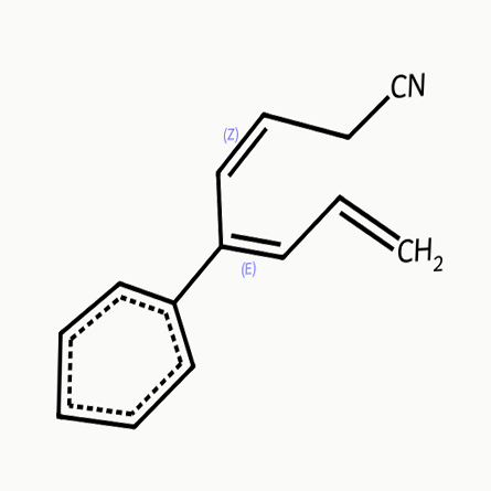 C=C/C=C(\C=C/CC#N)c1ccccc1